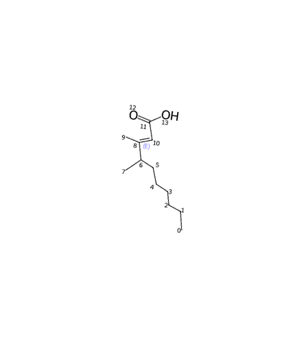 CCCCCCC(C)/C(C)=C/C(=O)O